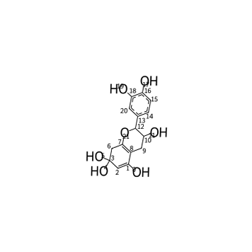 OC1=CC(O)(O)CC2=C1CC(O)C(c1ccc(O)c(O)c1)O2